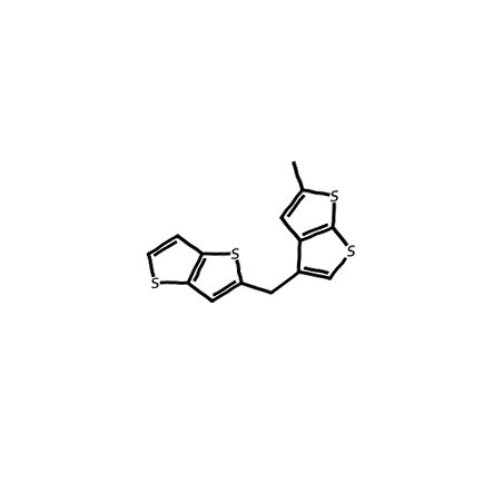 Cc1cc2c(Cc3cc4sccc4s3)csc2s1